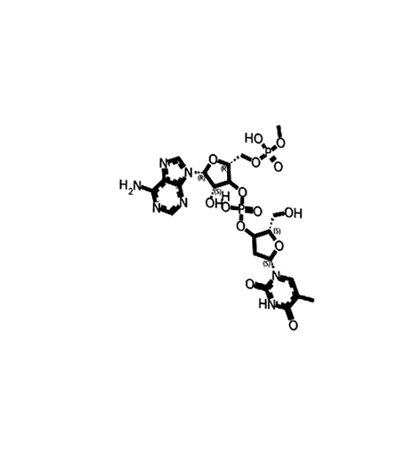 COP(=O)(O)OC[C@H]1O[C@@H](n2cnc3c(N)ncnc32)[C@@H](O)C1OP(=O)(O)OC1C[C@@H](n2cc(C)c(=O)[nH]c2=O)O[C@H]1CO